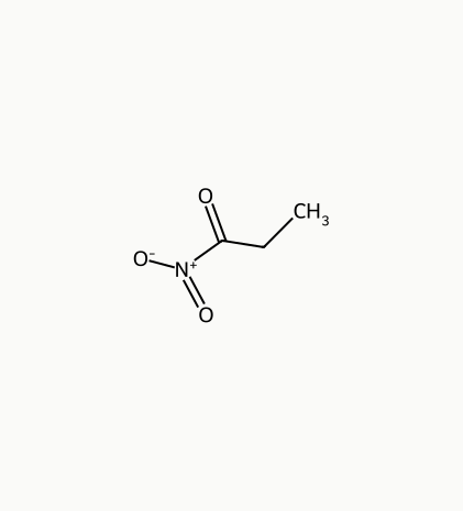 CCC(=O)[N+](=O)[O-]